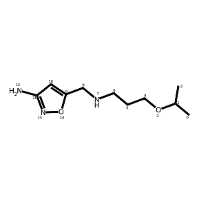 CC(C)OCCCNCc1cc(N)no1